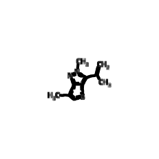 C=C(C)c1c2scc(C)c2nn1C